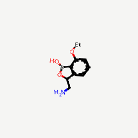 CCOc1cccc2c1B(O)OC2CN